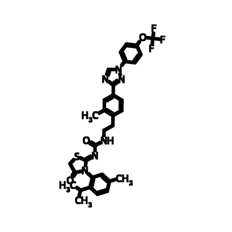 Cc1ccc(C(C)C)c(N2C(=O)CSC2=NC(=O)NCCc2ccc(-c3ncn(-c4ccc(OC(F)(F)F)cc4)n3)cc2C)c1